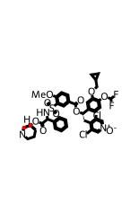 COc1ccc(C(=O)O[C@@H](Cc2c(Cl)c[n+]([O-])cc2Cl)c2ccc(OC(F)F)c(OCC3CC3)c2)cc1S(=O)(=O)NC(C(=O)O[C@H]1CN2CCC1CC2)c1ccccc1